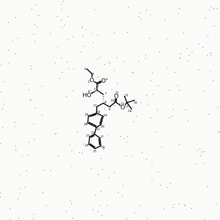 CCOC(=O)[C@H](O)C[C@H](CC(=O)OC(C)(C)C)Cc1ccc(-c2ccccc2)cc1